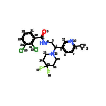 O=C(NCC(c1ccc(C(F)(F)F)nc1)N1CCC(F)(F)CC1)c1cccc(Cl)c1Cl